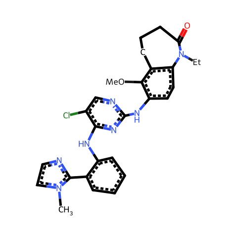 CCN1C(=O)CCCc2c1ccc(Nc1ncc(Cl)c(Nc3ccccc3-c3nccn3C)n1)c2OC